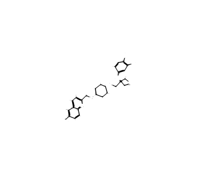 Fc1cc(OC2(CN[C@H]3CC[C@H](NCc4ccc5cc(Cl)ccc5n4)CC3)COC2)ccc1Cl